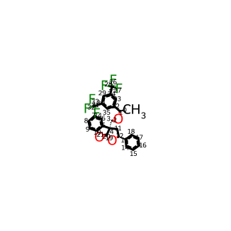 C[C@@H](OC[C@]1(c2ccccc2)C[C@@H](c2ccccc2)OC1=O)c1cc(C(F)(F)F)cc(C(F)(F)F)c1